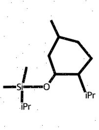 CC1CCC(C(C)C)C(O[Si](C)(C)C(C)C)C1